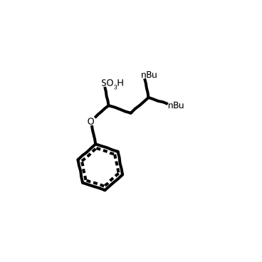 CCCCC(CCCC)CC(Oc1ccccc1)S(=O)(=O)O